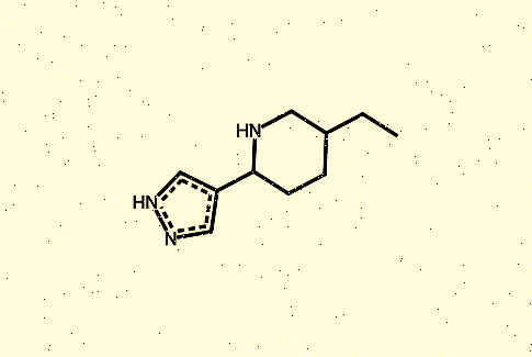 CCC1CCC(c2cn[nH]c2)NC1